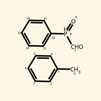 Cc1ccccc1.O=C[PH](=O)c1ccccc1